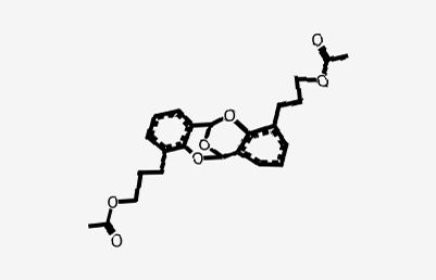 CC(=O)OCCCc1cccc2c1OC1OC2Oc2c(CCCOC(C)=O)cccc21